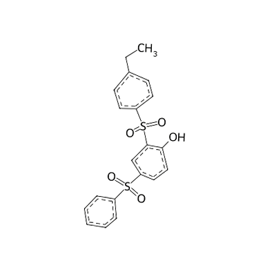 CCc1ccc(S(=O)(=O)c2cc(S(=O)(=O)c3ccccc3)ccc2O)cc1